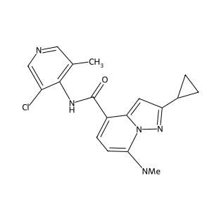 CNc1ccc(C(=O)Nc2c(C)cncc2Cl)c2cc(C3CC3)nn12